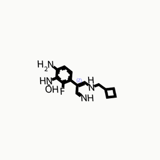 N=C/C(=C\NCC1CCC1)c1ccc(N)c(NO)c1F